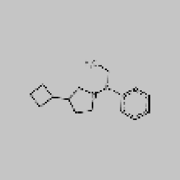 FC(F)(F)CN(c1ccccc1)N1CCC(C2CCC2)C1